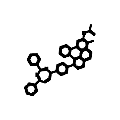 C=C(C)Oc1cc(-c2ccccc2-c2c(-c3ccc(C4=C=CC(c5ccccc5)=NC(c5ccccc5)=N4)cc3)ccc3ccccc23)ccc1C